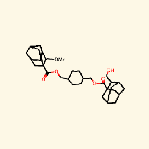 COC1C2CC3CC(C2)CC1(C(=O)OCC1CCC(COC(=O)C24CC5CC(CC(C5)C2CO)C4)CC1)C3